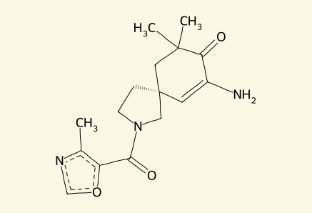 Cc1ncoc1C(=O)N1CC[C@]2(C=C(N)C(=O)C(C)(C)C2)C1